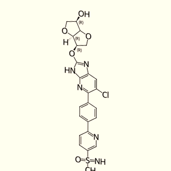 CS(=N)(=O)c1ccc(-c2ccc(-c3nc4[nH]c(O[C@@H]5COC6[C@H](O)CO[C@@H]65)nc4cc3Cl)cc2)nc1